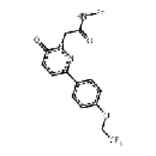 CCNC(=O)Cn1nc(-c2ccc(OCC(F)(F)F)cc2)ccc1=O